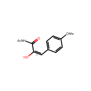 COc1ccc(/C=C(/O)C(=O)NC(C)=O)cc1